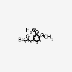 COc1ccc(CC(=O)CBr)cc1OC